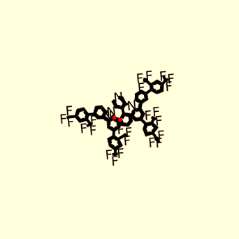 N#Cc1ccccc1-c1c(-n2c3ccc(-c4ccc(C(F)(F)F)cc4C(F)(F)F)cc3c3cc(-c4ccc(C(F)(F)F)cc4C(F)(F)F)ccc32)cncc1-n1c2ccc(-c3ccc(C(F)(F)F)cc3C(F)(F)F)cc2c2cc(-c3ccc(C(F)(F)F)cc3C(F)(F)F)ccc21